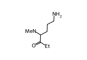 CCC(=O)C(CCCN)NC